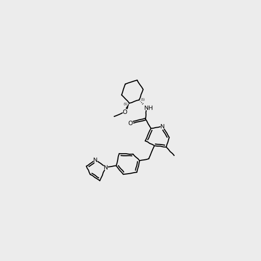 CO[C@H]1CCCC[C@@H]1NC(=O)c1cc(Cc2ccc(-n3cccn3)cc2)c(C)cn1